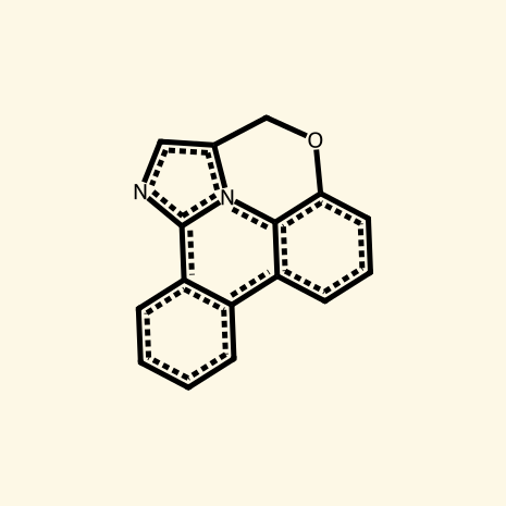 c1ccc2c(c1)c1cccc3c1n1c(cnc21)CO3